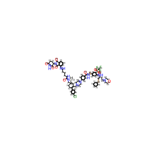 CC1(CNC(=O)CCCCCNc2cccc3c2C(=O)N(C2CCC(=O)NC2=O)C3=O)CCC(c2ccc(Cl)cc2)=C(CN2CCN(c3ccc(C(=O)NSc4ccc(N[C@H](CCN5CCOCC5)CSc5ccccc5)c(S(=O)(=O)C(F)(F)F)c4)cc3)CC2)C1